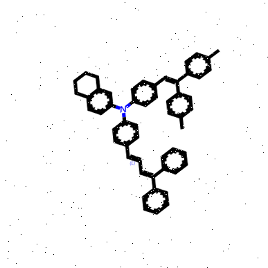 Cc1ccc(C(=Cc2ccc(N(c3ccc(/C=C/C=C(c4ccccc4)c4ccccc4)cc3)c3ccc4c(c3)CCCC4)cc2)c2ccc(C)cc2)cc1